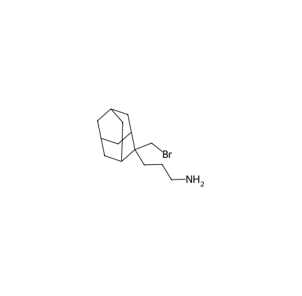 NCCCC1(CBr)C2CC3CC(C2)CC1C3